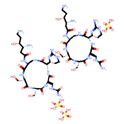 NCC[C@@H](O)[C@H](N)CC(=O)N[C@H]1CNC(=O)[C@H]([C@H]2CCNC(N)=N2)NC(=O)/C(=C/NC(N)=O)NC(=O)[C@H](CO)NC(=O)[C@H](CO)NC1=O.NCC[C@@H](O)[C@H](N)CC(=O)N[C@H]1CNC(=O)[C@H]([C@H]2CCNC(N)=N2)NC(=O)/C(=C/NC(N)=O)NC(=O)[C@H](CO)NC(=O)[C@H](CO)NC1=O.O=S(=O)(O)O.O=S(=O)(O)O.O=S(=O)(O)O